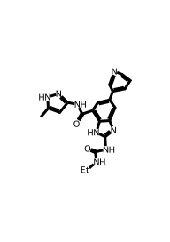 CCNC(=O)Nc1nc2cc(-c3cccnc3)cc(C(=O)Nc3cc(C)[nH]n3)c2[nH]1